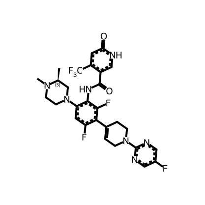 C[C@H]1CN(c2cc(F)c(C3=CCN(c4ncc(F)cn4)CC3)c(F)c2NC(=O)c2c[nH]c(=O)cc2C(F)(F)F)CCN1C